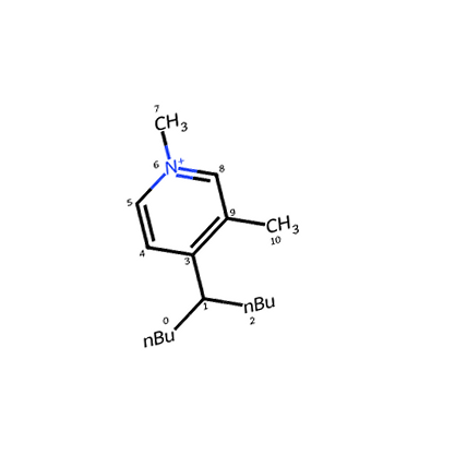 CCCCC(CCCC)c1cc[n+](C)cc1C